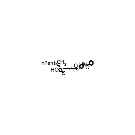 CCCCC[C@H](C)/C=C/[C@H]1[C@H](O)CC(=O)[C@@H]1CCCCCCC(=O)Oc1ccc(NC(=O)c2ccccc2)cc1